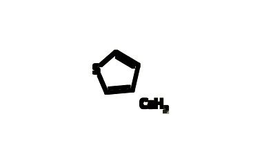 [CaH2].c1ccsc1